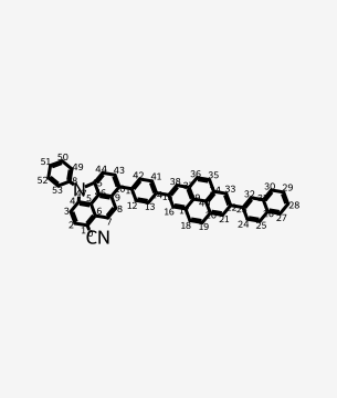 N#Cc1ccc2c3c1ccc1c(-c4ccc(-c5cc6ccc7cc(-c8ccc9ccccc9c8)cc8ccc(c5)c6c78)cc4)ccc(c13)n2-c1ccccc1